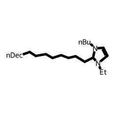 CCCCCCCCCCCCCCCCCCC1N(CC)C=CN1CCCC